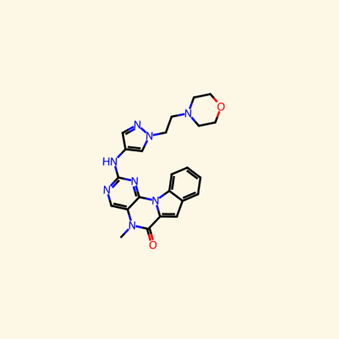 Cn1c(=O)c2cc3ccccc3n2c2nc(Nc3cnn(CCN4CCOCC4)c3)ncc21